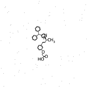 CC(C=Cc1cccc(OCC(=O)O)c1)n1cc(C(c2ccccc2)c2ccccc2)cn1